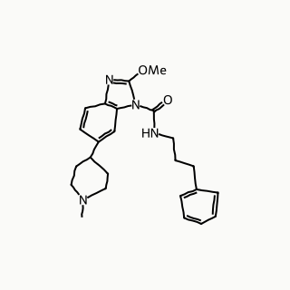 COc1nc2ccc(C3CCN(C)CC3)cc2n1C(=O)NCCCc1ccccc1